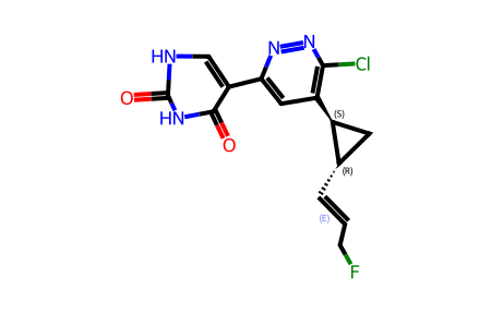 O=c1[nH]cc(-c2cc([C@H]3C[C@@H]3/C=C/CF)c(Cl)nn2)c(=O)[nH]1